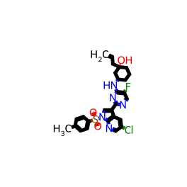 C=CC[C@@]1(O)CCCC(Nc2nc(-c3cn(S(=O)(=O)c4ccc(C)cc4)c4ncc(Cl)cc34)ncc2F)C1